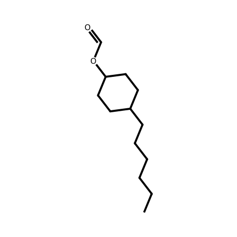 CCCCCCC1CCC(OC=O)CC1